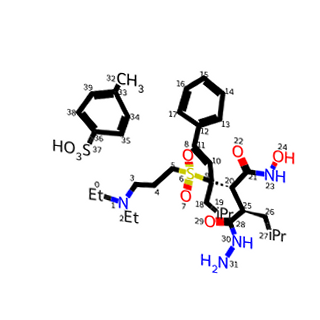 CCN(CC)CCCS(=O)(=O)C(/C=C/c1ccccc1)(CC(C)C)[C@H](C(=O)NO)[C@@H](CC(C)C)C(=O)NN.Cc1ccc(S(=O)(=O)O)cc1